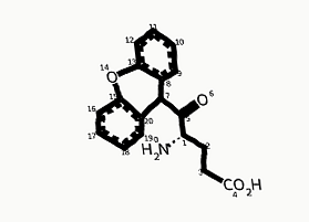 N[C@@H](CCC(=O)O)C(=O)C1c2ccccc2Oc2ccccc21